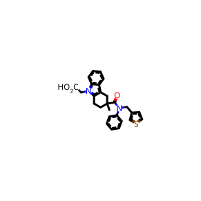 CC1(C(=O)N(Cc2ccsc2)c2ccccc2)CCc2c(c3ccccc3n2CC(=O)O)C1